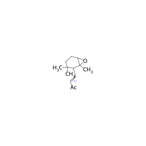 CC(=O)/C=C/C1C(C)(C)CCC2OC21C